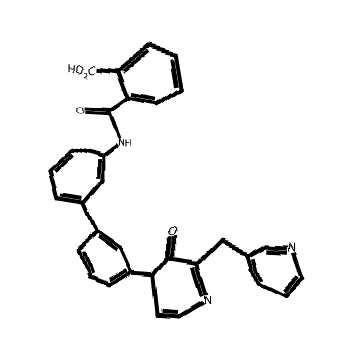 O=C(O)c1ccccc1C(=O)Nc1cccc(-c2cccc(C3C=CN=C(Cc4cccnc4)C3=O)c2)c1